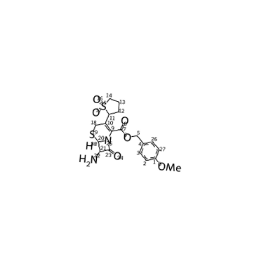 COc1ccc(COC(=O)C2=C(C3CCCS3(=O)=O)CS[C@@H]3[C@H](N)C(=O)N23)cc1